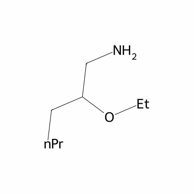 CCCCC(CN)OCC